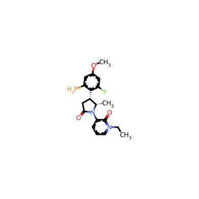 CCn1cccc(N2C(=O)C[C@H](c3c(F)cc(OC)cc3P)[C@@H]2C)c1=O